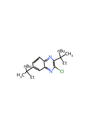 CCCCC(C)(CC)c1ccc2nc(C(C)(CC)CCCC)c(Cl)nc2c1